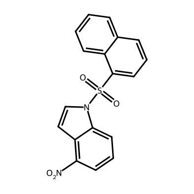 O=[N+]([O-])c1cccc2c1ccn2S(=O)(=O)c1cccc2ccccc12